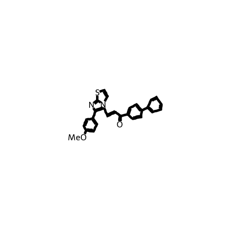 COc1ccc(-c2nc3sccn3c2C=CC(=O)c2ccc(-c3ccccc3)cc2)cc1